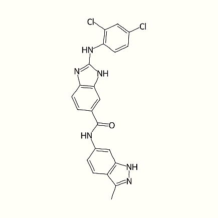 Cc1n[nH]c2cc(NC(=O)c3ccc4nc(Nc5ccc(Cl)cc5Cl)[nH]c4c3)ccc12